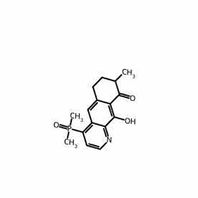 CC1CCc2cc3c(P(C)(C)=O)ccnc3c(O)c2C1=O